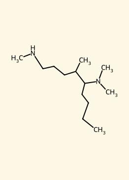 CCCCC(C(C)CCCNC)N(C)C